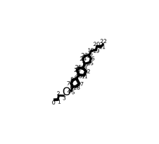 C=CCCOCc1ccc(-c2ccc(C3CCC(CC/C=C/C)CC3)cc2)cc1